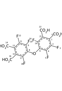 O=C(O)c1c(F)c(F)c(Oc2c(F)c(F)c(C(=O)O)c(C(=O)O)c2F)c(F)c1C(=O)O